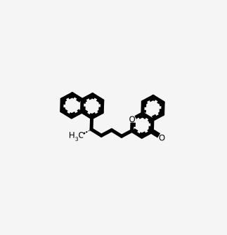 C[C@@H](CCCc1cc(=O)c2ccccc2o1)c1cccc2ccccc12